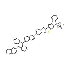 CC1(C)c2ccccc2-c2cc3c(cc21)sc1cc2cc(-c4ccc5cc(-c6c7ccccc7c(-c7ccc8ccccc8c7)c7ccccc67)ccc5c4)ccc2cc13